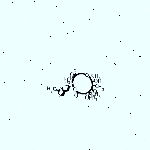 CC(=Cc1csc(C)n1)[C@@H]1C[C@H]2O[C@@]2(F)CCO[C@@H](C)[C@@H](O)[C@@H](C)C(=O)C(C)(C)[C@@H](O)CC(=O)O1